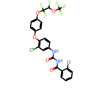 O=C(NC(=O)c1ccccc1Cl)Nc1ccc(Oc2ccc(OC(F)(F)C(F)OC(F)(F)F)cc2)c(Cl)c1